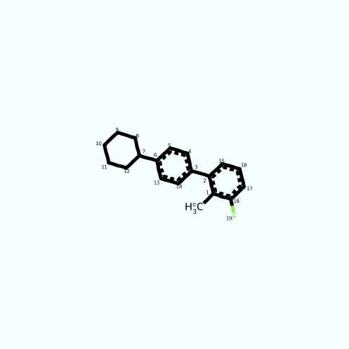 Cc1c(-c2ccc(C3CCCCC3)cc2)[c]ccc1F